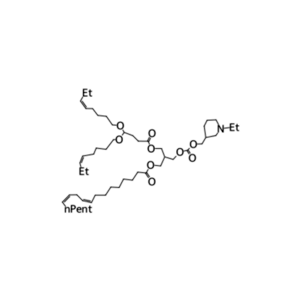 CC/C=C\CCCCOC(CCC(=O)OCC(COC(=O)CCCCCCC/C=C\C/C=C\CCCCC)COC(=O)OCC1CCCN(CC)C1)OCCCC/C=C\CC